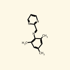 Cc1cc(C)c(N=Cc2ncccn2)c(C)c1